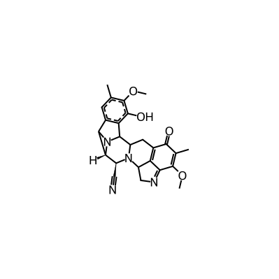 COC1=C(C)C(=O)C2=C3C1=NCC3N1C(C2)C2c3c(cc(C)c(OC)c3O)C3[C@@H]([C@@H]1C#N)N23